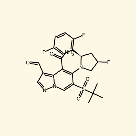 CC(C)(C)S(=O)(=O)c1cn2ncc([C]=O)c2c(C(N)=O)c1N1CC(F)C[C@@H]1c1cc(F)ccc1F